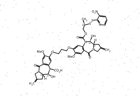 C=C1C[C@H]2[C@H](O)N(C(=O)O)c3cc(OCCCOc4cc5c(cc4OC)C(=O)N4CC(=C)C[C@H]4[C@H](O)N5C(=O)OC[C@@H](C)SSc4ncccc4[N+](=O)[O-])c(OC)cc3C(=O)N2C1